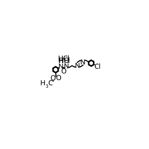 CCOC(=O)c1cccc(NC(=O)NCCCN2CCN(Cc3ccc(Cl)cc3)CC2)c1.Cl.Cl